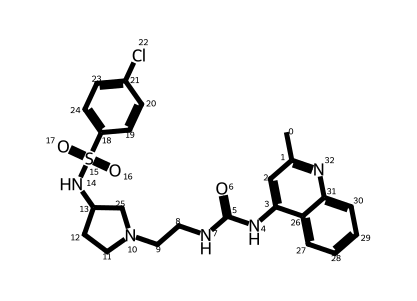 Cc1cc(NC(=O)NCCN2CCC(NS(=O)(=O)c3ccc(Cl)cc3)C2)c2ccccc2n1